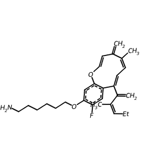 C=C1/C=C/Oc2cc(OCCCCCCN)c(F)cc2/C(C(=C)/C(C)=C\CC)=C/C=C\1C